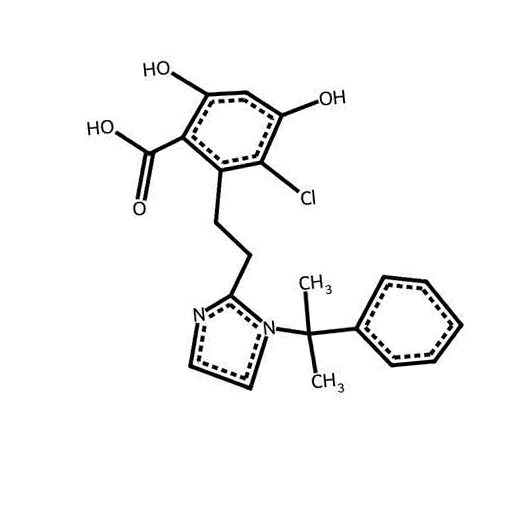 CC(C)(c1ccccc1)n1ccnc1CCc1c(Cl)c(O)cc(O)c1C(=O)O